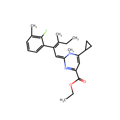 CCOC(=O)C1=N/C(=C/C(=C(/C)CC)c2cccc(C)c2F)N(C)C(C2CC2)=C1